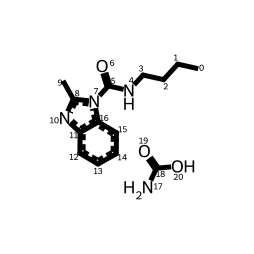 CCCCNC(=O)n1c(C)nc2ccccc21.NC(=O)O